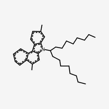 CCCCCCCCC(CCCCCCCC)n1c2cc(C)ccc2c2c3ccccc3c(C)cc21